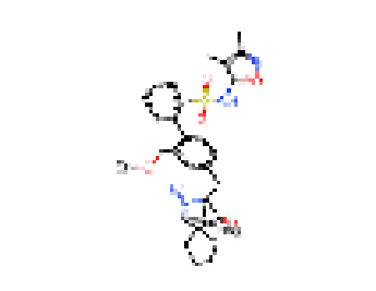 CCCCC1=C2[N+](=[N-])C1(Cc1ccc(-c3ccccc3S(=O)(=O)Nc3onc(C)c3C)c(COCC)c1)C(=O)C21CCCC1